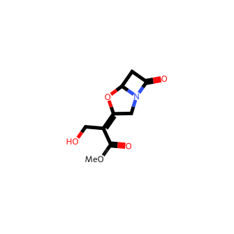 COC(=O)C(CO)=C1CN2C(=O)CC2O1